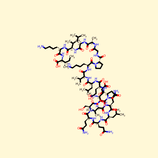 CC[C@H](C)[C@H](NC(=O)[C@H](CCCCN)NC(=O)[C@@H](NC(=O)[C@H](CC(C)C)NC(=O)[C@H](C)NC(=O)CNC(=O)[C@@H]1CCCN1C(=O)[C@H](CCCCN)NC(=O)[C@@H](NC(=O)[C@H](CC(C)C)NC(=O)[C@H](CCC(=O)O)NC(=O)[C@@H]1CCCN1C(=O)CNC(=O)[C@H](CO)NC(=O)[C@H](CCC(N)=O)NC(=O)[C@H](CCC(N)=O)NC(=O)[C@H](CC(C)C)NC(=O)[C@H](CCC(N)=O)NC(=O)[C@@H](NC(=O)[C@@H](N)CCC(=O)O)C(C)C)C(C)C)C(C)C)C(=O)O